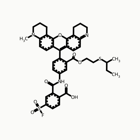 CCC(C)SCCOC(=O)c1cc(NC(=O)c2cc(S(=O)(=O)F)ccc2C(=O)O)ccc1C1=c2ccc3c(c2Oc2c1ccc1c2CCCN1C)CCCN=3